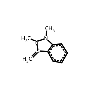 C=S1c2ccccc2N(C)N1C